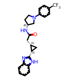 O=C(C[C@@H]1C[C@@H]1c1nc2ccccc2[nH]1)N[C@@H]1CCN(c2ccc(C(F)(F)F)cc2)C1